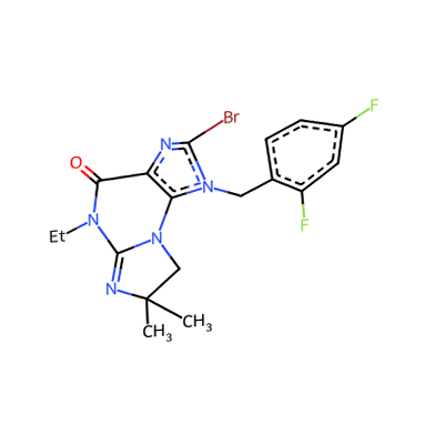 CCN1C(=O)c2nc(Br)n(Cc3ccc(F)cc3F)c2N2CC(C)(C)N=C12